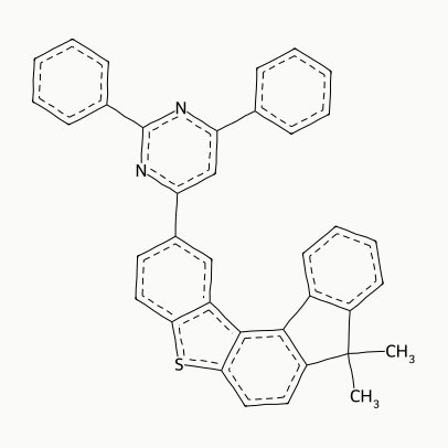 CC1(C)c2ccccc2-c2c1ccc1sc3ccc(-c4cc(-c5ccccc5)nc(-c5ccccc5)n4)cc3c21